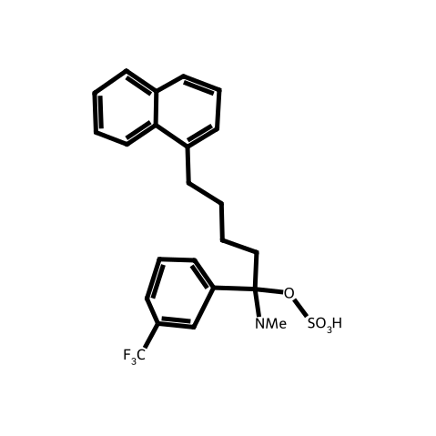 CNC(CCCCc1cccc2ccccc12)(OS(=O)(=O)O)c1cccc(C(F)(F)F)c1